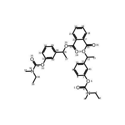 CCN(C)C(=O)Oc1cccc(C(C)OC(=O)c2ccccc2C(=O)OC(C)c2cccc(OC(=O)N(C)CC)c2)c1